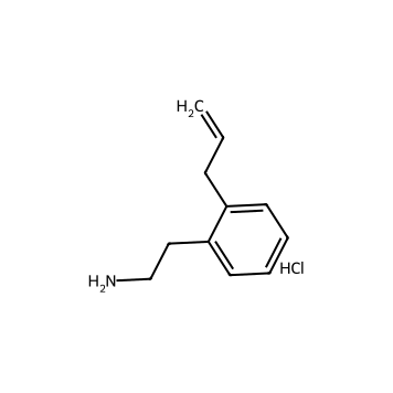 C=CCc1ccccc1CCN.Cl